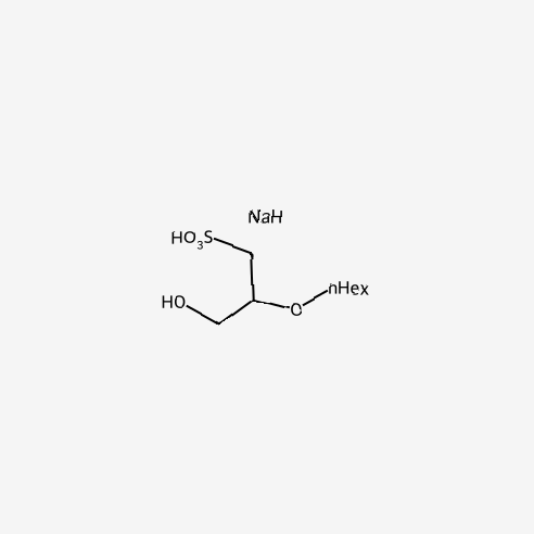 CCCCCCOC(CO)CS(=O)(=O)O.[NaH]